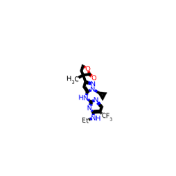 CCNc1nc(Nc2cc(C3(C)CCOC3=O)nn2C2CC2)ncc1C(F)(F)F